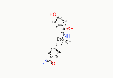 CCC(C)(CCc1ccc(C(N)=O)cc1)NCC(O)c1ccc(O)cc1